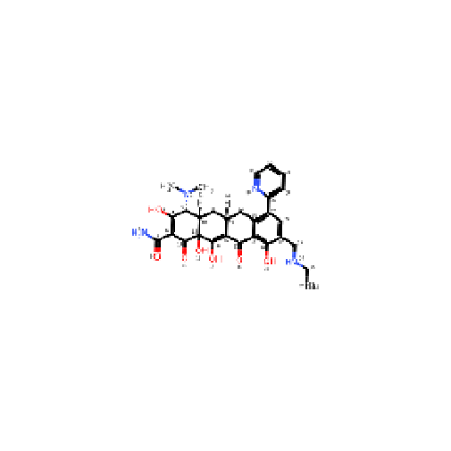 CN(C)[C@H]1C(O)=C(C(N)=O)C(=O)C2(O)C(O)=C3C(=O)c4c(O)c(CNCC(C)(C)C)cc(-c5ccccn5)c4C[C@H]3C[C@@H]12